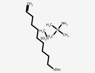 C=CCCCCCCCCCCCCCCCCCC.CS(=O)(=O)O.C[N+](C)(C)N